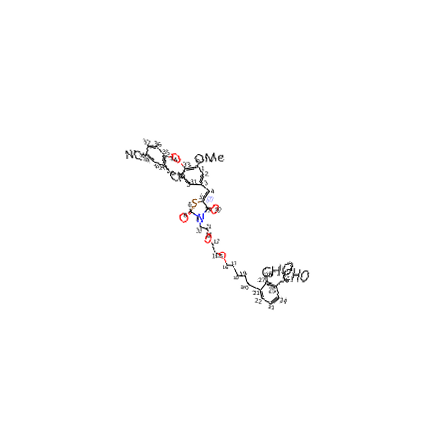 COc1cc(/C=C2\SC(=O)N(CCOCCOCCCCCc3cccc(C=O)c3C=O)C2=O)ccc1Oc1ccc(C#N)cc1C(F)(F)F